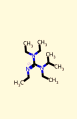 CC/N=C(/N(CC)CC)N(CC)C(C)C